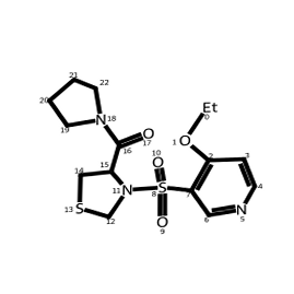 CCOc1ccncc1S(=O)(=O)N1CSCC1C(=O)N1CCCC1